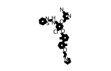 Cc1c(COc2cc(OCc3cncc(C#N)c3)c(CNCc3nc4ccccc4s3)cc2Cl)cccc1-c1cccc(OCCCN2CCCC2)c1C